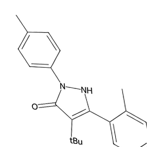 Cc1ccc(-n2[nH]c(-c3ccccc3C)c(C(C)(C)C)c2=O)cc1